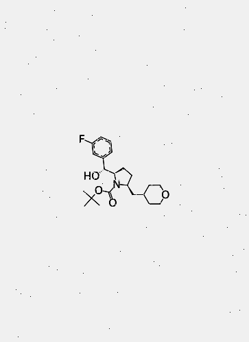 CC(C)(C)OC(=O)N1[C@H](CC2CCOCC2)CC[C@@H]1[C@H](O)c1cccc(F)c1